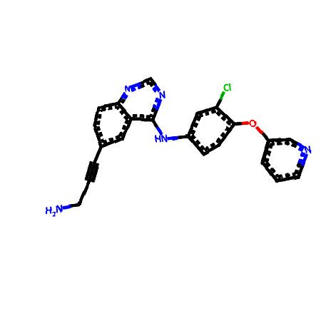 NCC#Cc1ccc2ncnc(Nc3ccc(Oc4cccnc4)c(Cl)c3)c2c1